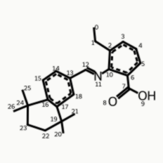 CCc1cccc(C(=O)O)c1N=Cc1ccc2c(c1)C(C)(C)CCC2(C)C